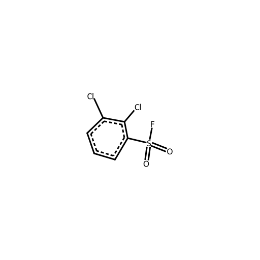 O=S(=O)(F)c1cccc(Cl)c1Cl